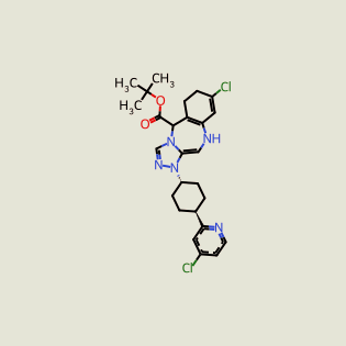 CC(C)(C)OC(=O)C1C2=C(C=C(Cl)CC2)NC=C2N1C=NN2[C@H]1CC[C@H](c2cc(Cl)ccn2)CC1